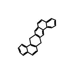 c1ccc2c3c(ccc2c1)Cc1cc2c(ccc4ccccc42)cc1C3